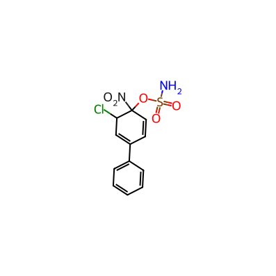 NS(=O)(=O)OC1([N+](=O)[O-])C=CC(c2ccccc2)=CC1Cl